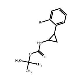 CC(C)(C)OC(=O)NC1CC1c1ccccc1Br